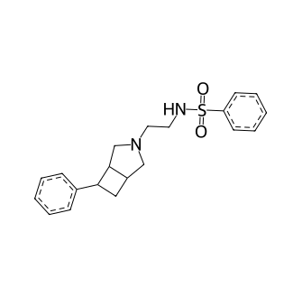 O=S(=O)(NCCN1CC2CC(c3ccccc3)C2C1)c1ccccc1